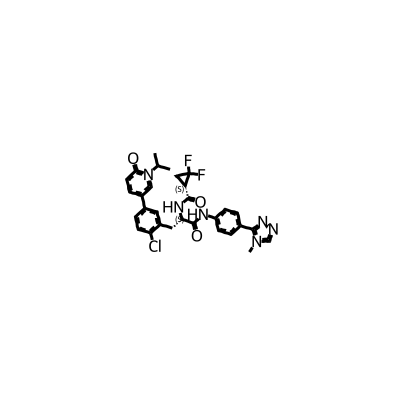 CC(C)n1cc(-c2ccc(Cl)c(C[C@H](NC(=O)[C@@H]3CC3(F)F)C(=O)Nc3ccc(-c4nncn4C)cc3)c2)ccc1=O